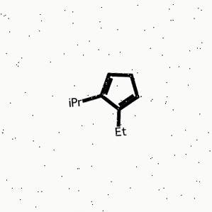 CCC1=[C]CC=C1C(C)C